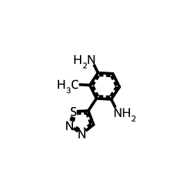 Cc1c(N)ccc(N)c1-c1cnns1